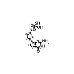 Nc1nc2c(ncn2[C@H]2CC[C@@H](COP(=O)(O)S)S2)c(=O)[nH]1